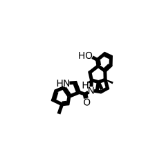 Cc1ccc2[nH]cc(C(=O)N3CC[C@@]4(C)c5cccc(O)c5C[C@@H]3C4(C)C)c2c1